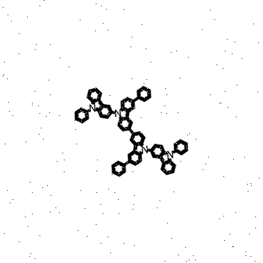 c1ccc(-c2ccc3c(c2)c2cc(-c4ccc5c(c4)c4cc(-c6ccccc6)ccc4n5-c4ccc5c(c4)c4ccccc4n5-c4ccccc4)ccc2n3-c2ccc3c(c2)c2ccccc2n3-c2ccccc2)cc1